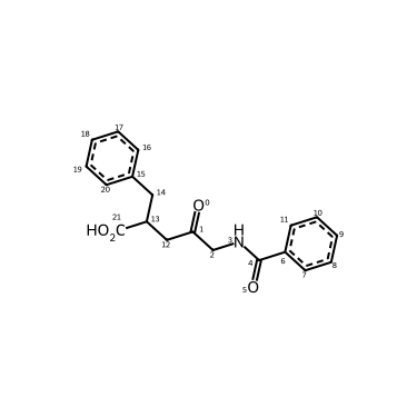 O=C(CNC(=O)c1ccccc1)CC(Cc1ccccc1)C(=O)O